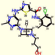 Cc1nc(Nc2ncc(C(=O)Nc3c(C)cccc3Cl)s2)cc(N2CC3[C@@H]2CN3CCCO)n1